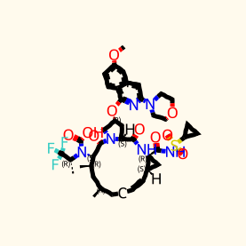 COc1ccc2c(O[C@@H]3C[C@H]4C(=O)N[C@]5(C(=O)NS(=O)(=O)C6CC6)C[C@H]5C=CCC[C@@H](C)C[C@@H](C)[C@H](N(C(=O)O)[C@H](C)C(F)(F)F)C(=O)N4C3)nc(N3CCOCC3)cc2c1